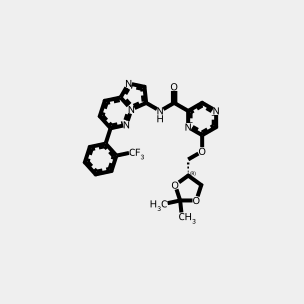 CC1(C)OC[C@@H](COc2cncc(C(=O)Nc3cnc4ccc(-c5ccccc5C(F)(F)F)nn34)n2)O1